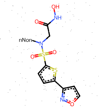 CCCCCCCCCN(CC(=O)NO)S(=O)(=O)c1ccc(-c2ccon2)s1